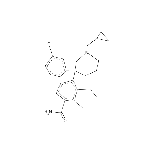 CCc1c(C2(c3cccc(O)c3)CCCN(CC3CC3)C2)ccc(C(N)=O)c1C